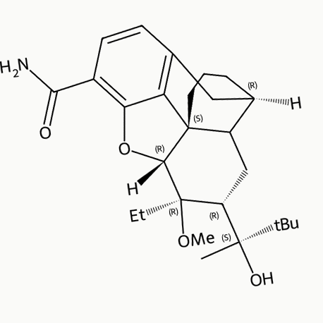 CC[C@@]1(OC)[C@@H]([C@](C)(O)C(C)(C)C)CC2[C@@H]3CCC[C@@]24c2c(ccc(C(N)=O)c2O[C@@H]14)C3